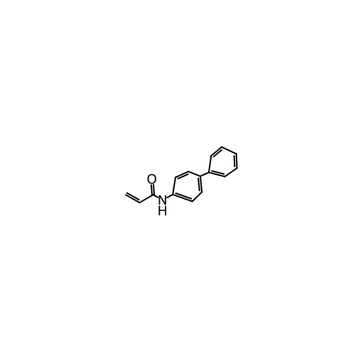 C=CC(=O)Nc1ccc(-c2ccccc2)cc1